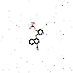 N#Cc1ccc(Cc2cnccc2SCC(=O)O)c2ccccc12